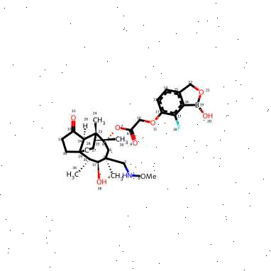 CONC[C@]1(C)C[C@@H](OC(=O)COc2ccc3c(c2F)B(O)OC3)[C@]2(C)[C@H](C)CC[C@]3(CCC(=O)[C@H]32)[C@@H](C)[C@@H]1O